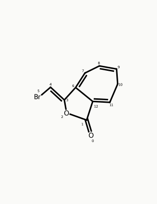 O=C1O/C(=C\Br)C2=CC=CCC=C12